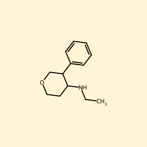 CCNC1CCOCC1c1ccccc1